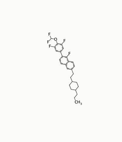 CCCC1CCC(CCc2ccc3c(F)c(-c4cc(F)c(OC(F)F)c(F)c4)ccc3c2)CC1